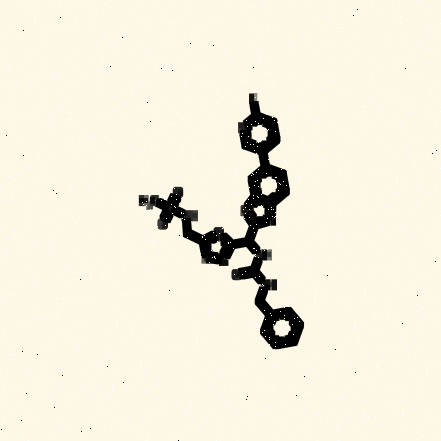 CS(=O)(=O)NCc1nnc(C(NC(=O)NCc2ccccc2)c2nc3ccc(-c4ccc(F)nc4)cc3s2)o1